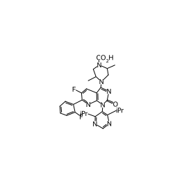 CC(C)c1ncnc(C(C)C)c1-n1c(=O)nc(N2CC(C)N(C(=O)O)CC2C)c2cc(F)c(-c3ccccc3F)nc21